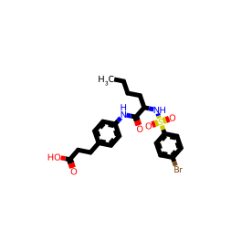 CCCCC(NS(=O)(=O)c1ccc(Br)cc1)C(=O)Nc1ccc(CCC(=O)O)cc1